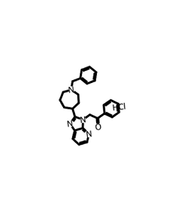 Cl.O=C(Cn1c(C2CCCN(Cc3ccccc3)CC2)nc2cccnc21)c1ccccc1